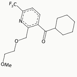 COCCOCc1nc(C(F)(F)F)ccc1C(=O)C1CCCCC1